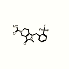 Cn1c(=O)c2c(n1Cc1ccccc1C(F)(F)F)CCN(C(=O)O)C2